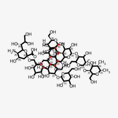 CC1C(O)[C@H](O[C@@H]2OC(CO)[C@H](O)C(O)[C@@H]2O)[C@H](CO)O[C@H]1O[C@@H]1C(O)[C@H](O)C(CO)O[C@@H]1OCC1O[C@@H](O[C@@H]2C(CO)O[C@@H](O[C@@H]3C(CO)O[C@@H](C)[C@@H](C)C3O)[C@@H](C)C2O)[C@H](O)C(O[C@H]2O[C@H](CO)[C@@H](O)C(O)C2O[C@@H]2OC(CO)[C@@H](O[C@@H]3OC(CO[C@]4(C(=O)O)C[C@@H](O)[C@@H](N)C([C@H](O)C(O)CO)O4)[C@H](O)C(O)[C@@H]3O)C(O)[C@@H]2C)[C@@H]1O